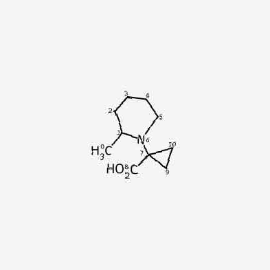 CC1CCCCN1C1(C(=O)O)CC1